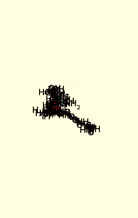 CC(=O)[C@H](CCCNC(=N)N)CC(=O)[C@@H](NC(=O)[C@H](CC(=O)O)CC(=O)C1CCCN1C(=O)[C@H](C)NC(=O)[C@H](CO)CC(=O)[C@@H](NC(=O)C(CC(=O)CNC(=O)[C@@H](CC(=O)CCC(=O)NCCOCCOCCNC(=O)CCCC[C@@H]1SC[C@@H]2NC(=O)N[C@@H]21)Cc1cnc[nH]1)C(C)C)C(C)O)C(C)O[C@H]1OC(CO)[C@H](O)[C@H](O)C1C